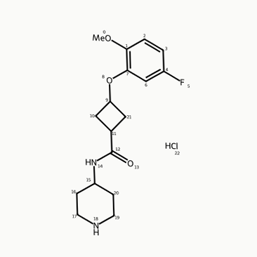 COc1ccc(F)cc1OC1CC(C(=O)NC2CCNCC2)C1.Cl